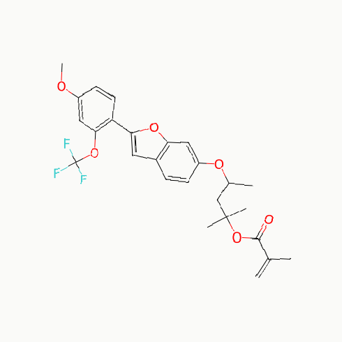 C=C(C)C(=O)OC(C)(C)CC(C)Oc1ccc2cc(-c3ccc(OC)cc3OC(F)(F)F)oc2c1